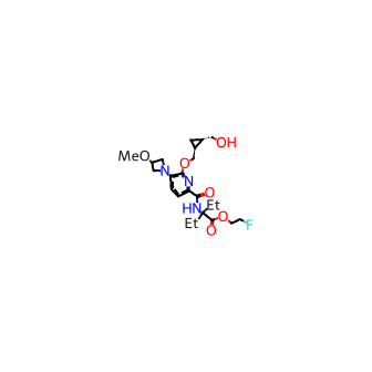 CCC(CC)(NC(=O)c1ccc(N2CC(OC)C2)c(OC[C@H]2C[C@@H]2CO)n1)C(=O)OCCF